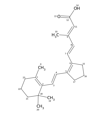 CC1=C(/C=C/C2=C(/C=C/C(C)=C/C(=O)O)CCC2)C(C)(C)CCC1